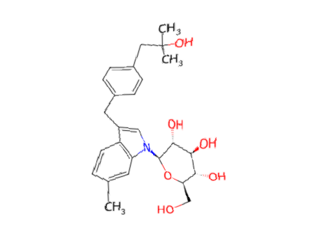 Cc1ccc2c(Cc3ccc(CC(C)(C)O)cc3)cn([C@@H]3O[C@H](CO)[C@@H](O)[C@H](O)[C@H]3O)c2c1